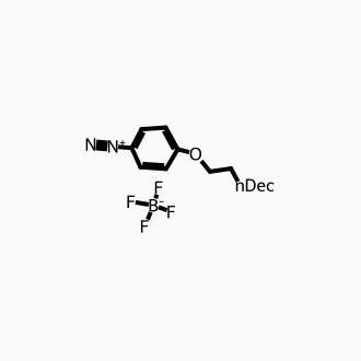 CCCCCCCCCCCCOc1ccc([N+]#N)cc1.F[B-](F)(F)F